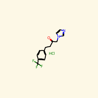 Cl.O=C(CCc1ccc(C(F)(F)F)cc1)Cn1ccnc1